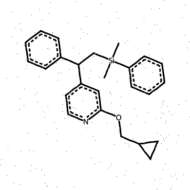 C[Si](C)(CC(c1ccccc1)c1ccnc(OCC2CC2)c1)c1ccccc1